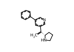 C=C(c1cncc(-c2ccccc2)c1)[C@@H]1CCCN1